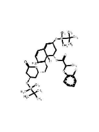 CC(Oc1ccccc1Cl)C(=O)O[C@H]1C[C@H](O[Si](C)(C)C(C)(C)C)C=C2C=C[C@H](C)[C@H](CC[C@@H]3C[C@@H](O[Si](C)(C)C(C)(C)C)CC(=O)O3)[C@H]21